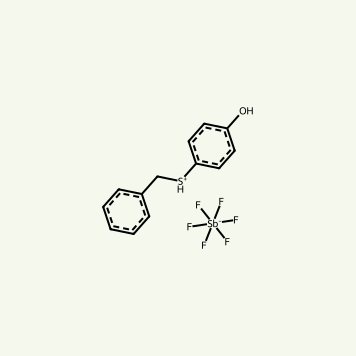 Oc1ccc([SH+]Cc2ccccc2)cc1.[F][Sb-]([F])([F])([F])([F])[F]